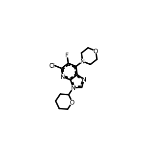 Fc1c(Cl)nc2c(ncn2C2CCCCO2)c1N1CCOCC1